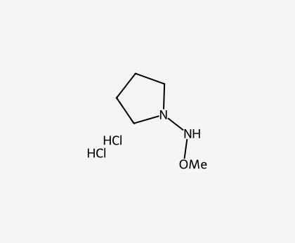 CONN1CCCC1.Cl.Cl